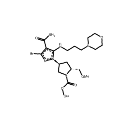 COC[C@H]1C[C@H](n2nc(Br)c(C(N)=O)c2NCCCN2CCOCC2)CN1C(=O)OC(C)(C)C